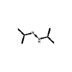 CC(C)[N]NC(C)C